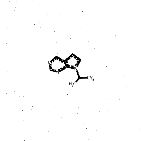 CC(C)n1ccc2cncnc21